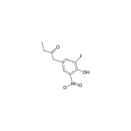 CCC(=O)Cc1cc(F)c(O)c([N+](=O)[O-])c1